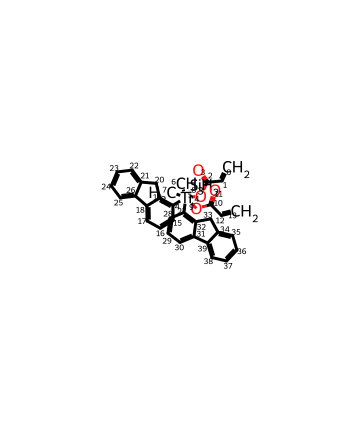 C=CC(=O)[O][Ti]([CH3])([CH3])(=[SiH2])([O]C(=O)C=C)([c]1cccc2c1Cc1ccccc1-2)[c]1cccc2c1Cc1ccccc1-2